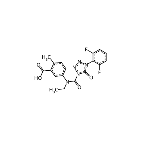 CCN(C(=O)n1nnn(-c2c(F)cccc2F)c1=O)c1ccc(C)c(C(=O)O)c1